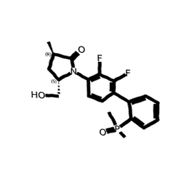 C[C@@H]1C[C@@H](CO)N(c2ccc(-c3ccccc3P(C)(C)=O)c(F)c2F)C1=O